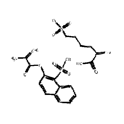 C=C(C)C(=O)Oc1ccc2ccccc2c1S(=O)(=O)O.C=C(CCCCS(=O)(=O)O)C(=O)O